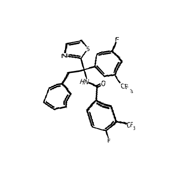 O=C(NC(Cc1ccccc1)(c1cc(F)cc(C(F)(F)F)c1)c1nccs1)c1ccc(F)c(C(F)(F)F)c1